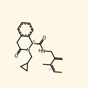 C=C(CNC(=O)[C@@H]1c2ccccc2CC(=O)N1CC1CC1)/C(C)=C\C